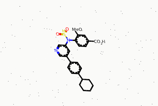 COc1cc(C(=O)O)ccc1N(c1cncc(-c2ccc(C3CCCCC3)cc2)c1)[SH](=O)=O